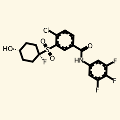 O=C(Nc1cc(F)c(F)c(F)c1)c1ccc(Cl)c(S(=O)(=O)[C@]2(F)CC[C@@H](O)CC2)c1